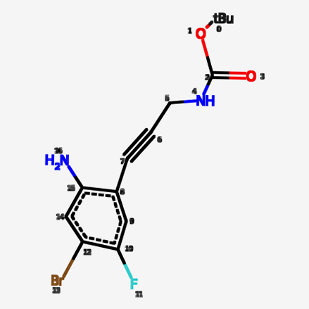 CC(C)(C)OC(=O)NCC#Cc1cc(F)c(Br)cc1N